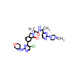 C[C@H](C(=O)N[C@H](C)c1ccnc(N2CCN(C)CC2)n1)N1Cc2ccc(-c3nc(NC4CCOCC4)ncc3Cl)cc2C1=O